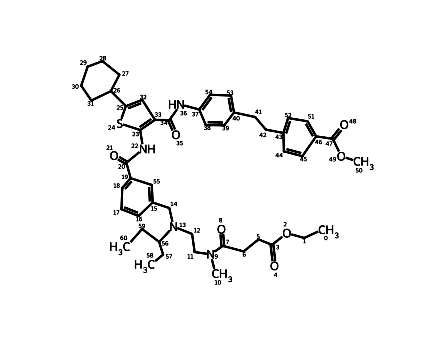 CCOC(=O)CCC(=O)N(C)CCN(Cc1cccc(C(=O)Nc2sc(C3CCCCC3)cc2C(=O)Nc2ccc(CCc3ccc(C(=O)OC)cc3)cc2)c1)C(CC)CC